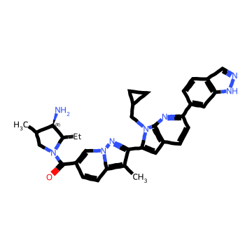 CCC1[C@H](N)C(C)CN1C(=O)c1ccc2c(C)c(-c3cc4ccc(-c5ccc6cn[nH]c6c5)nc4n3CC3CC3)nn2c1